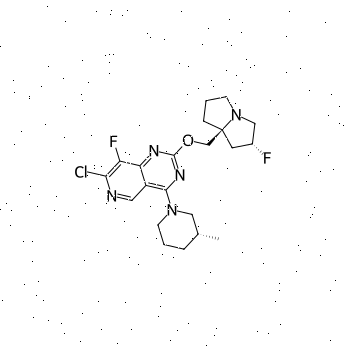 C[C@@H]1CCCN(c2nc(OC[C@@]34CCCN3C[C@H](F)C4)nc3c(F)c(Cl)ncc23)C1